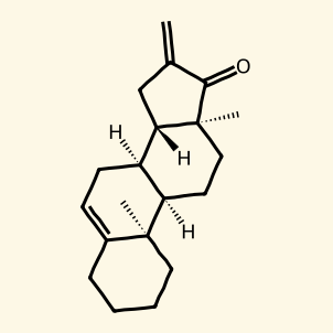 C=C1C[C@H]2[C@@H]3CC=C4CCCC[C@]4(C)[C@@H]3CC[C@]2(C)C1=O